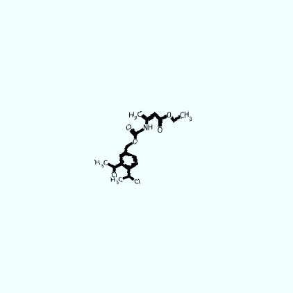 CCOC(=O)/C=C(/C)NC(=O)OCc1ccc(C(C)Cl)c(C(C)Cl)c1